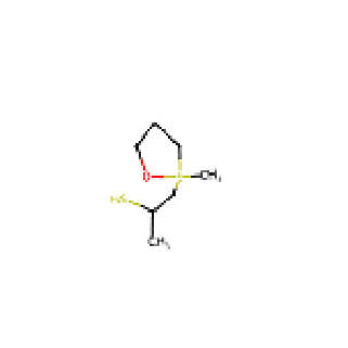 CC(S)CS1(C)CCCO1